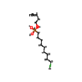 CCCCCCCCCCCOS(=O)(=O)CCCCCCCCCF